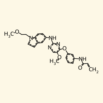 C=CC(=O)Nc1cccc(Oc2nc(Nc3ccc4c(ccn4CCOC)c3)ncc2OC)c1